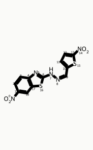 O=[N+]([O-])c1ccc2nc(N/N=C\c3ccc([N+](=O)[O-])s3)sc2c1